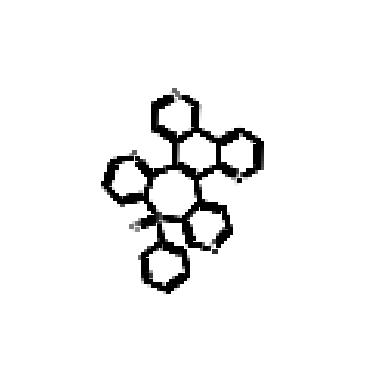 O=P1(c2ccccc2)c2cnccc2-c2c(c3ccncc3c3cccnc23)-c2ncccc21